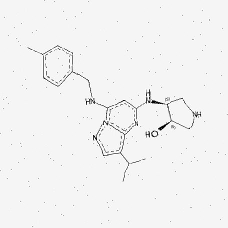 Cc1ccc(CNc2cc(N[C@H]3CNC[C@H]3O)nc3c(C(C)C)cnn23)cc1